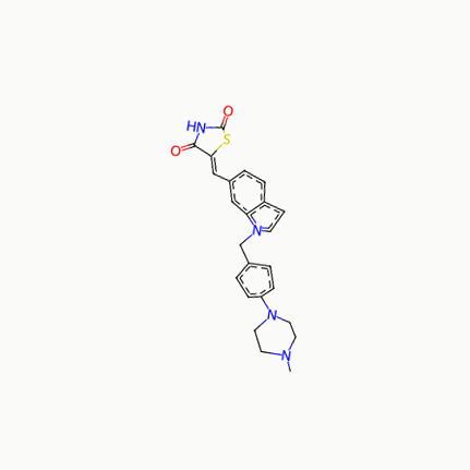 CN1CCN(c2ccc(Cn3ccc4ccc(/C=C5\SC(=O)NC5=O)cc43)cc2)CC1